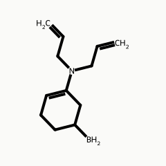 BC1CCC=C(N(CC=C)CC=C)C1